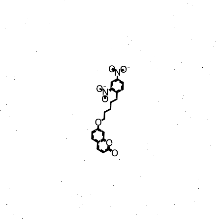 O=c1ccc2ccc(OCCCCCc3ccc([N+](=O)[O-])cc3[N+](=O)[O-])cc2o1